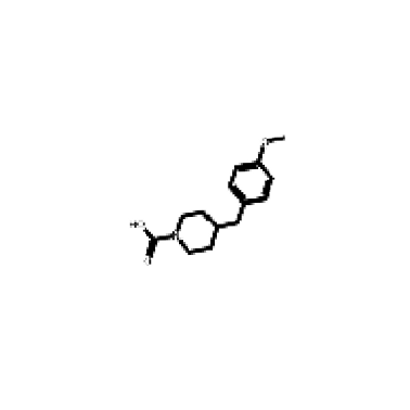 COc1ccc(CC2CCN(C(=O)O)CC2)cc1